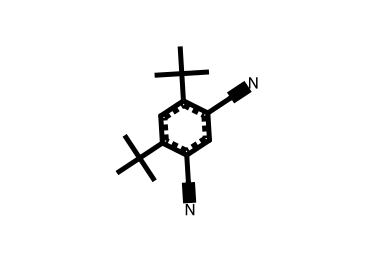 CC(C)(C)c1cc(C(C)(C)C)c(C#N)cc1C#N